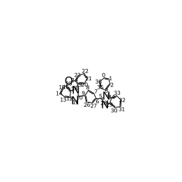 c1ccc(-n2c(-c3ccc(-c4nc5cccc6c5n4-c4ccccc4O6)cc3)nc3ccccc32)cc1